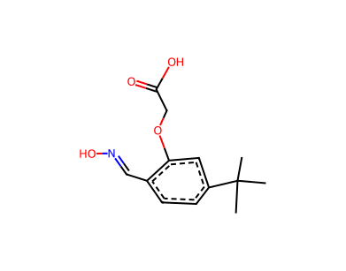 CC(C)(C)c1ccc(C=NO)c(OCC(=O)O)c1